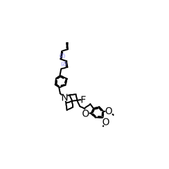 C=C/C=C\C=C/Cc1ccc(CN2C3CCC34C2CC4(F)CC2Cc3cc(OC)c(OC)cc3O2)cc1